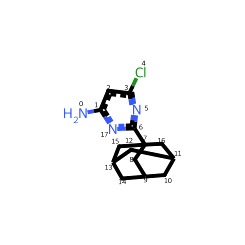 Nc1cc(Cl)nc(C23CC4CC(CC(C4)C2)C3)n1